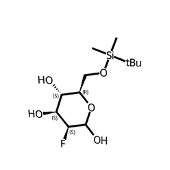 CC(C)(C)[Si](C)(C)OC[C@H]1OC(O)[C@@H](F)[C@@H](O)[C@@H]1O